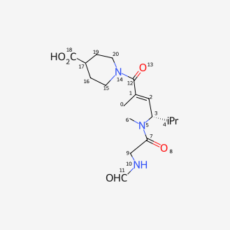 C/C(=C\[C@H](C(C)C)N(C)C(=O)CNC=O)C(=O)N1CCC(C(=O)O)CC1